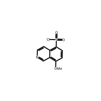 COc1ccc(S(=O)(=O)Cl)c2ccncc12